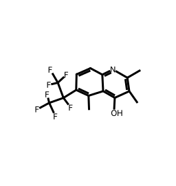 Cc1nc2ccc(C(F)(C(F)(F)F)C(F)(F)F)c(C)c2c(O)c1C